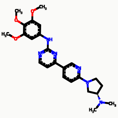 COc1cc(Nc2nccc(-c3ccc(N4CC[C@H](N(C)C)C4)nc3)n2)cc(OC)c1OC